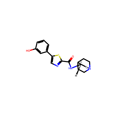 O=C(N[C@H]1CN2CCC1CC2)c1ncc(-c2cccc(O)c2)s1